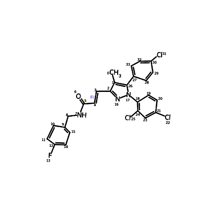 Cc1c(/C=C/C(=O)NCc2ccc(F)cc2)nn(-c2ccc(Cl)cc2Cl)c1-c1ccc(Cl)cc1